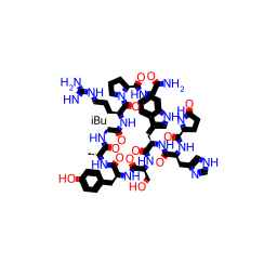 CC[C@H](C)[C@H](NC(=O)[C@@H](C)NC(=O)[C@H](Cc1ccc(O)cc1)NC(=O)[C@H](CO)NC(=O)[C@H](Cc1c[nH]c2ccccc12)NC(=O)[C@H](Cc1c[nH]cn1)NC(=O)[C@@H]1CCC(=O)N1)C(=O)N[C@@H](CCCNC(=N)N)C(=O)N1CCC[C@H]1C(=O)NCC(N)=O